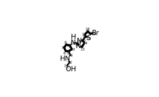 OCCNCc1cccc(Nc2nccc(-c3ccc(Br)s3)n2)c1